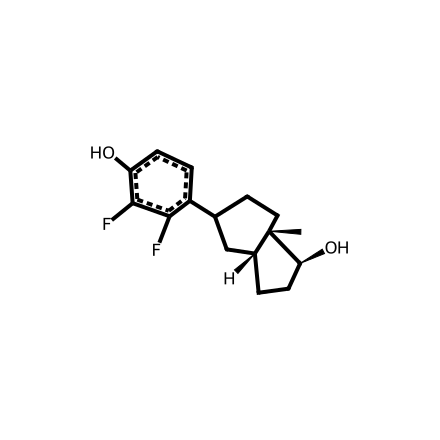 C[C@]12CCC(c3ccc(O)c(F)c3F)C[C@H]1CC[C@@H]2O